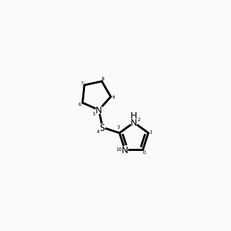 c1c[nH]c(SN2CCCC2)n1